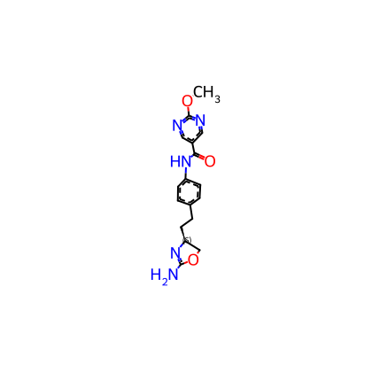 COc1ncc(C(=O)Nc2ccc(CC[C@H]3COC(N)=N3)cc2)cn1